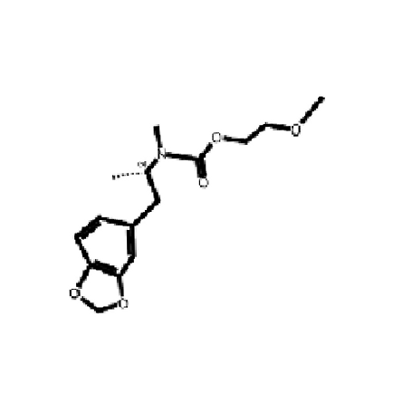 COCCOC(=O)N(C)[C@@H](C)Cc1ccc2c(c1)OCO2